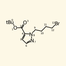 CC(C)(C)OC(=O)c1ccnn1CCCCBr